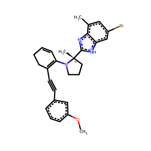 COc1cccc(C#CC2=C(N3CCC[C@@]3(C)c3nc4c(C)cc(Br)cc4[nH]3)C=CC[CH]2)c1